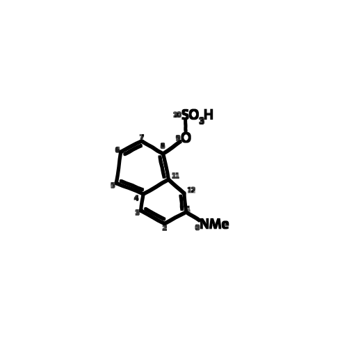 CNc1ccc2cccc(OS(=O)(=O)O)c2c1